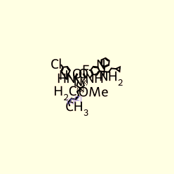 C=C(/C=C\C=C/C)[C@@]1(OC)C[C@H](C(=O)Nc2cc(C(N)(CCC3CC3)c3ccccn3)ccc2F)N(C(=O)Nc2ccc(Cl)cn2)C1